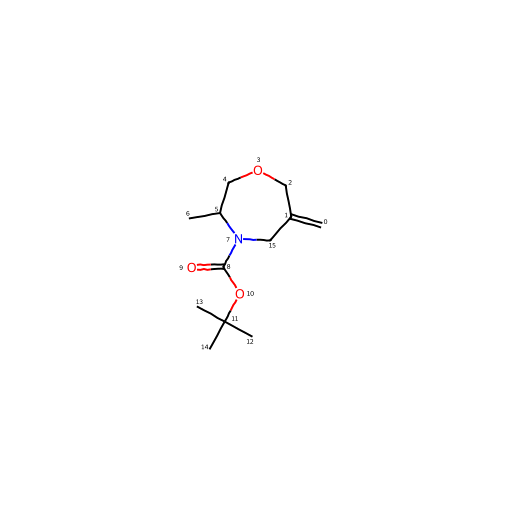 C=C1COCC(C)N(C(=O)OC(C)(C)C)C1